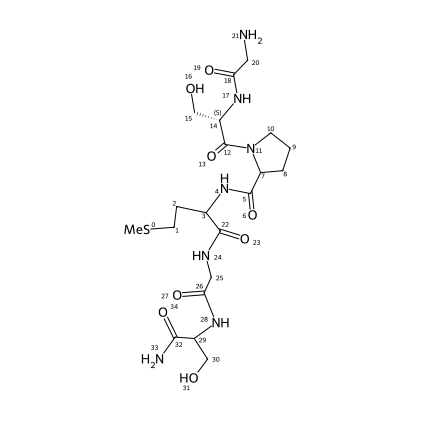 CSCCC(NC(=O)C1CCCN1C(=O)[C@H](CO)NC(=O)CN)C(=O)NCC(=O)NC(CO)C(N)=O